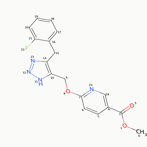 COC(=O)c1ccc(OCc2[nH]nnc2Cc2ccccc2F)nc1